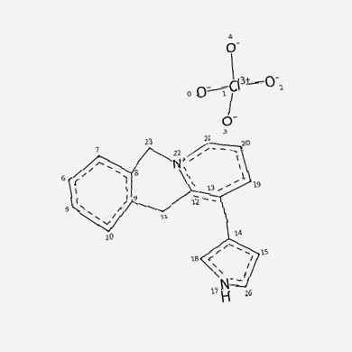 [O-][Cl+3]([O-])([O-])[O-].c1ccc2c(c1)Cc1c(-c3cc[nH]c3)ccc[n+]1C2